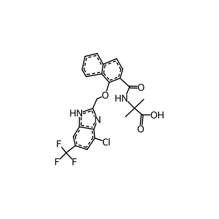 CC(C)(NC(=O)c1ccc2ccccc2c1OCc1nc2c(Cl)cc(C(F)(F)F)cc2[nH]1)C(=O)O